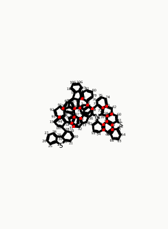 c1ccc(-c2ccccc2-c2c(-c3ccccc3-c3cccc4sc5ccccc5c34)ccc3c2-c2c(c(N(c4ccccc4-c4ccccc4)c4ccccc4-c4cccc5sc6ccccc6c45)c(-c4ccccc4)c(-c4ccccc4)c2-c2c4c(cc(-c5ccccc5)c2-c2ccccc2)-c2ccccc2C4)C3)cc1